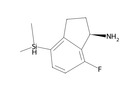 C[SiH](C)c1ccc(F)c2c1CC[C@H]2N